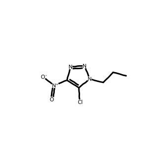 CCCn1nnc([N+](=O)[O-])c1Cl